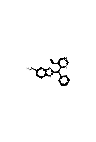 C=Cc1cncnc1C(c1ccccc1)c1nc2cc(N)ccc2s1